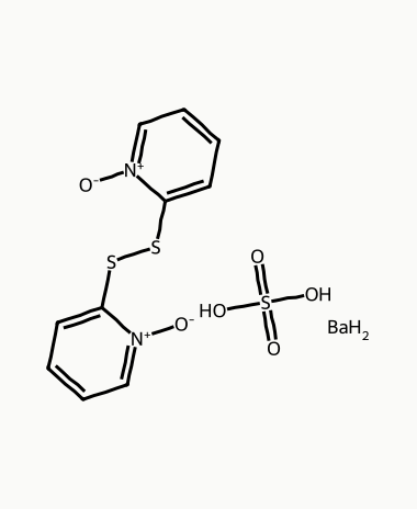 O=S(=O)(O)O.[BaH2].[O-][n+]1ccccc1SSc1cccc[n+]1[O-]